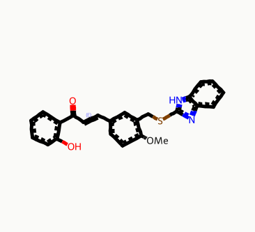 COc1ccc(/C=C/C(=O)c2ccccc2O)cc1CSc1nc2ccccc2[nH]1